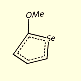 COc1ccc[se]1